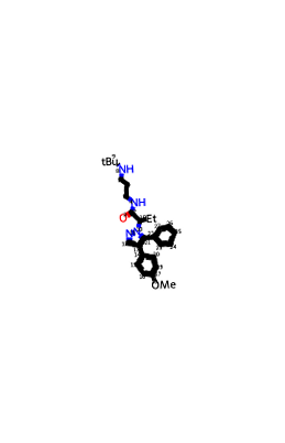 CCC(C(=O)NCCCNC(C)(C)C)n1ncc(-c2ccc(OC)cc2)c1-c1ccccc1